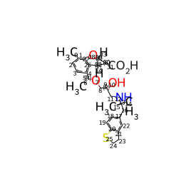 Cc1ccc([C@@H](C)OC[C@H](O)CNC(C)(C)Cc2ccc3c(c2)CCS3)c2c1O[C@@H]1[C@@H](C(=O)O)[C@H]21